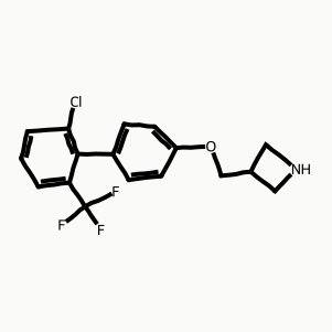 FC(F)(F)c1cccc(Cl)c1-c1ccc(OCC2CNC2)cc1